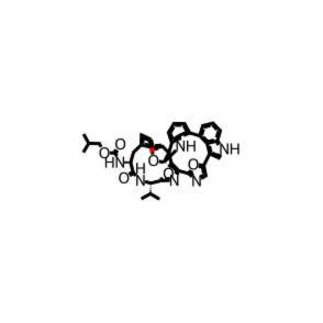 CC(C)COC(=O)N[C@H]1Cc2ccc3c(c2)C24c5cccc(c5NC2O3)-c2cccc3[nH]cc(c23)-c2cnc(o2)-c2nc(oc24)[C@H](C(C)C)NC1=O